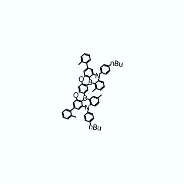 CCCCc1ccc(N2c3ccc(C)cc3B3c4cc5c(cc4Oc4cc(-c6ccccc6C)cc2c43)Oc2cc(-c3ccccc3C)cc3c2B5c2c(C)cccc2N3c2ccc(CCCC)cc2)cc1